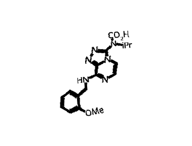 COc1ccccc1CNc1nccn2c(N(C(=O)O)C(C)C)nnc12